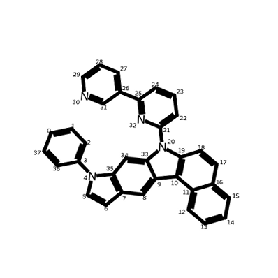 c1ccc(-n2ccc3cc4c5c6ccccc6ccc5n(-c5cccc(-c6cccnc6)n5)c4cc32)cc1